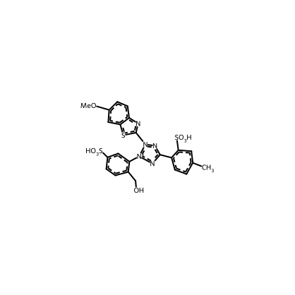 COc1ccc2nc(-n3nc(-c4ccc(C)cc4S(=O)(=O)O)n[n+]3-c3cc(S(=O)(=O)O)ccc3CO)sc2c1